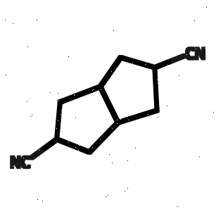 N#CC1CC2CC(C#N)CC2C1